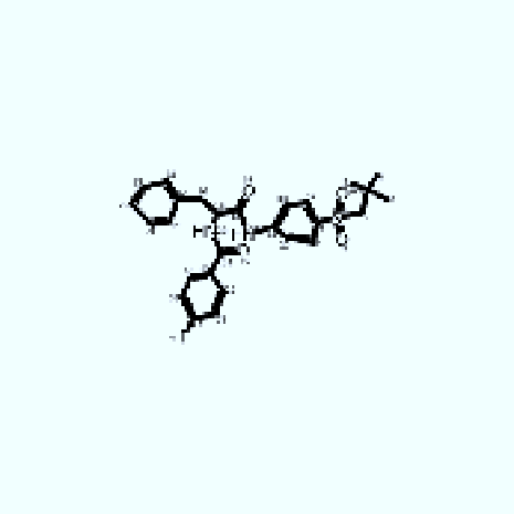 CC(C)(C)CS(=O)(=O)c1ccc(NC(=O)C(Cc2ccccc2)NC(=O)c2ccc(F)cc2)cc1